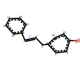 Brc1ccc([CH]/C=C/c2ccccc2)cc1